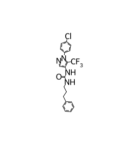 O=C(NCCCc1ccccc1)Nc1cnn(-c2ccc(Cl)cc2)c1C(F)(F)F